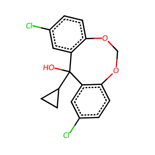 OC1(C2CC2)c2cc(Cl)ccc2OCOc2ccc(Cl)cc21